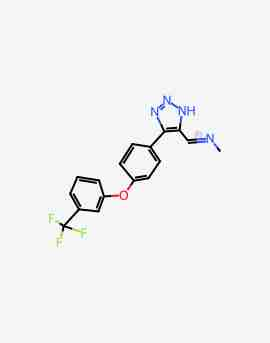 C/N=C/c1[nH]nnc1-c1ccc(Oc2cccc(C(F)(F)F)c2)cc1